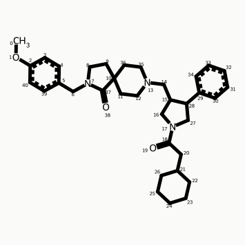 COc1ccc(CN2CCC3(CCN(CC4CN(C(=O)CC5CCCCC5)CC4c4ccccc4)CC3)C2=O)cc1